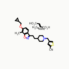 CNC.Cc1c(OCC2CC2)ccc2c(CCC3CCN(Cc4csc(C#N)c4)CC3)noc12.O=C(O)C=CC(=O)O